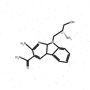 NC(=O)C1=CC2c3ccccc3N(C[C@@H](N)CO)C2N=C1N